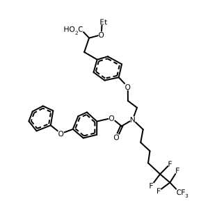 CCOC(Cc1ccc(OCCN(CCCCC(F)(F)C(F)(F)C(F)(F)F)C(=O)Oc2ccc(Oc3ccccc3)cc2)cc1)C(=O)O